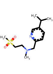 CC(C)c1ccc(CN(C)CCS(C)(=O)=O)nc1